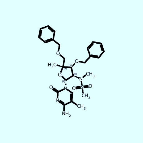 Cc1cn([C@@H]2O[C@](C)(COCc3ccccc3)[C@@H](OCc3ccccc3)[C@H]2N(C)S(C)(=O)=O)c(=O)nc1N